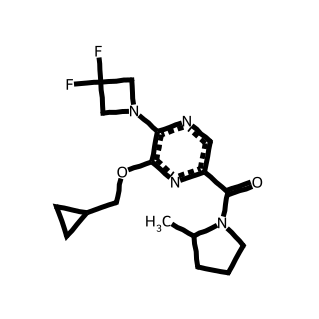 CC1CCCN1C(=O)c1cnc(N2CC(F)(F)C2)c(OCC2CC2)n1